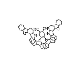 N#Cc1c(C#N)c(-n2c3ccccc3c3c4oc5ccccc5c4ccc32)c(-n2c3ccccc3c3ccccc32)c(-n2c3ccccc3c3ccccc32)c1-n1c2ccccc2c2c3oc4ccccc4c3ccc21